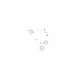 CC(C)(C)c1ccc(OCCCN2CCC(=C(c3ccc(F)cc3)c3ccc(F)cc3)CC2)cc1.O=C(O)C=CC(=O)O